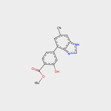 CC(C)(C)OC(=O)c1ccc(-c2cc(C#N)cc3[nH]cnc23)cc1O